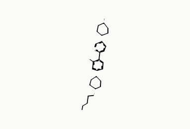 CCCCC[C@H]1CC[C@H](c2ccc(-c3ccc([C@H]4CC[C@H](C)CC4)cn3)c(F)c2)CC1